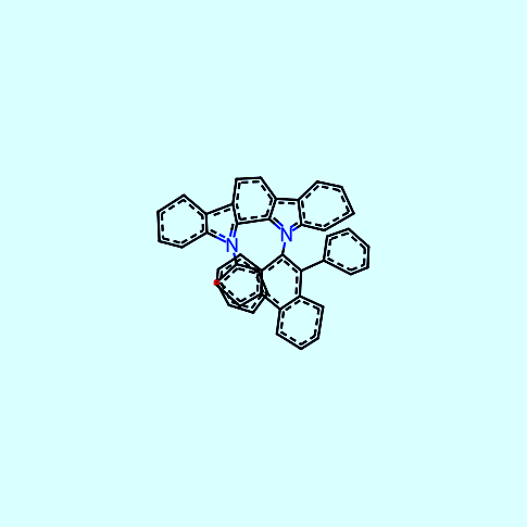 c1ccc(-c2c(-n3c4ccccc4c4ccc5c6ccccc6n(-c6ccccc6)c5c43)c3ccccc3c3ccccc23)cc1